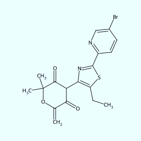 C=C1OC(C)(C)C(=O)C(c2nc(-c3ccc(Br)cn3)sc2CC)C1=O